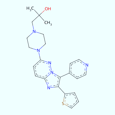 CC(C)(O)CN1CCN(c2ccc3nc(-c4cccs4)c(-c4ccncc4)n3n2)CC1